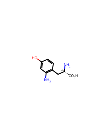 Nc1cc(O)ccc1C[C@H](N)C(=O)O